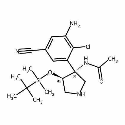 CC(=O)N[C@]1(c2cc(C#N)cc(N)c2Cl)CNC[C@H]1O[Si](C)(C)C(C)(C)C